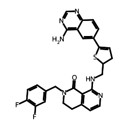 Nc1ncnc2ccc(C3=CCC(CNc4nccc5c4C(=O)N(Cc4ccc(F)c(F)c4)CC5)S3)cc12